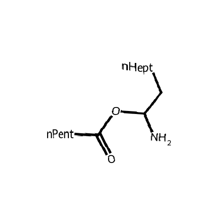 CCCCCCCCC(N)OC(=O)CCCCC